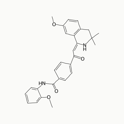 COc1ccc2c(c1)/C(=C/C(=O)c1ccc(C(=O)Nc3ccccc3OC)cc1)NC(C)(C)C2